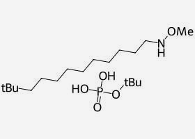 CC(C)(C)OP(=O)(O)O.CONCCCCCCCCCCC(C)(C)C